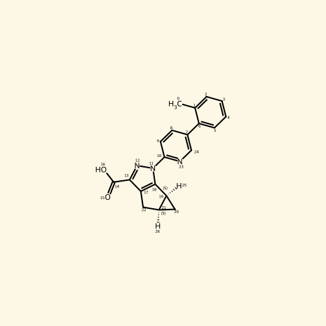 Cc1ccccc1-c1ccc(-n2nc(C(=O)O)c3c2[C@H]2C[C@H]2C3)nc1